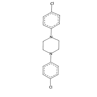 Clc1ccc(N2CCN(c3ccc(Cl)cc3)CC2)cc1